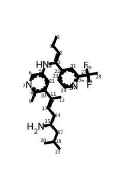 CC/C=C(\Nc1cnc(C)c(/C(C)=C/CC(N)CC(C)C)c1)c1ccnc(C(C)(F)F)c1